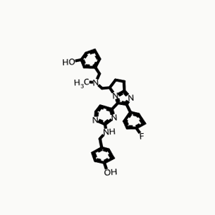 CN(Cc1cccc(O)c1)CC1CCc2nc(-c3ccc(F)cc3)c(-c3ccnc(NCc4ccc(O)cc4)n3)n21